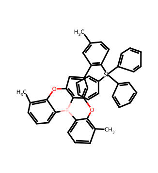 Cc1ccc([Si](c2ccccc2)(c2ccccc2)c2ccccc2)c(-c2cc3c4c(c2)Oc2c(C)cccc2B4c2cccc(C)c2O3)c1